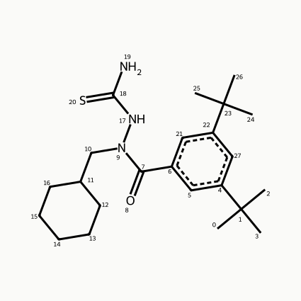 CC(C)(C)c1cc(C(=O)N(CC2CCCCC2)NC(N)=S)cc(C(C)(C)C)c1